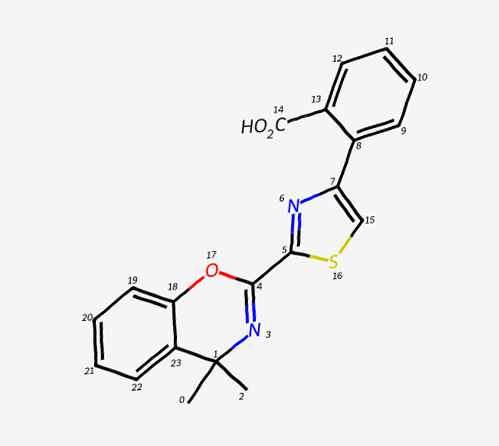 CC1(C)N=C(c2nc(-c3ccccc3C(=O)O)cs2)Oc2ccccc21